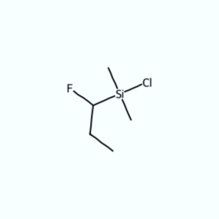 CCC(F)[Si](C)(C)Cl